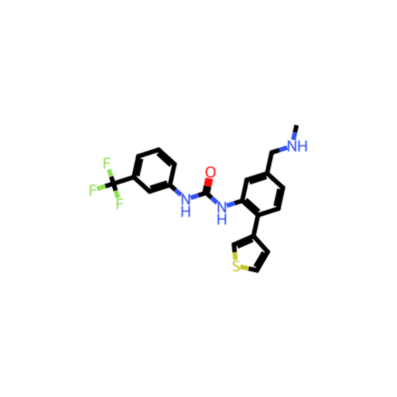 CNCc1ccc(-c2ccsc2)c(NC(=O)Nc2cccc(C(F)(F)F)c2)c1